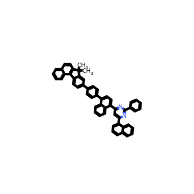 CC1(C)c2cc(-c3ccc(-c4ccc(-c5cc(-c6cccc7ccccc67)nc(-c6ccccc6)n5)c5ccccc45)cc3)ccc2-c2c1ccc1ccccc21